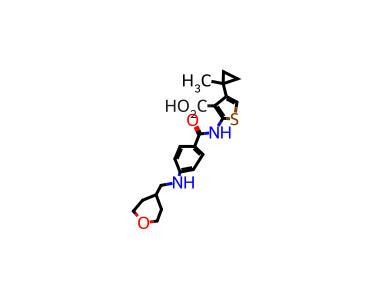 CC1(c2csc(NC(=O)c3ccc(NCC4CCOCC4)cc3)c2C(=O)O)CC1